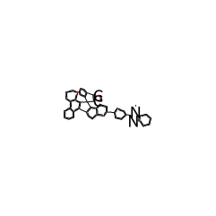 Cn1c(-c2ccc(-c3ccc4c5c(ccc4c3)-c3c(c4ccccc4c4ccccc34)C53c4ccccc4-c4ccccc43)cc2)nc2ccccc21